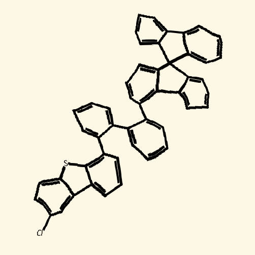 Clc1ccc2sc3c(-c4ccccc4-c4ccccc4-c4cccc5c4-c4ccccc4C54c5ccccc5-c5ccccc54)cccc3c2c1